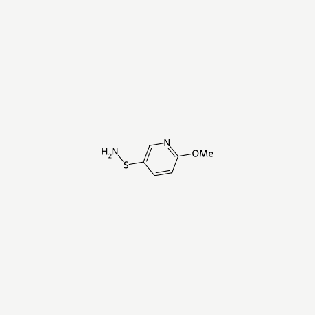 COc1ccc(SN)cn1